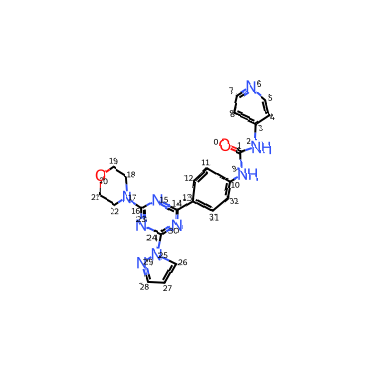 O=C(Nc1ccncc1)Nc1ccc(-c2nc(N3CCOCC3)nc(-n3cccn3)n2)cc1